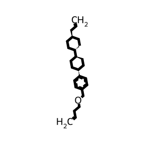 C=CCCOCc1ccc([C@H]2CC[C@H]([C@H]3CC[C@H](CC=C)CC3)CC2)cc1